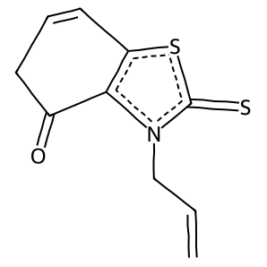 C=CCn1c2c(sc1=S)C=CCC2=O